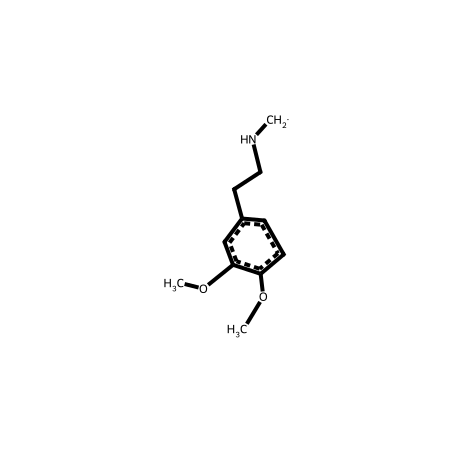 [CH2]NCCc1ccc(OC)c(OC)c1